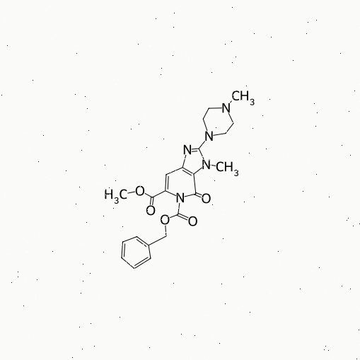 COC(=O)c1cc2nc(N3CCN(C)CC3)n(C)c2c(=O)n1C(=O)OCc1ccccc1